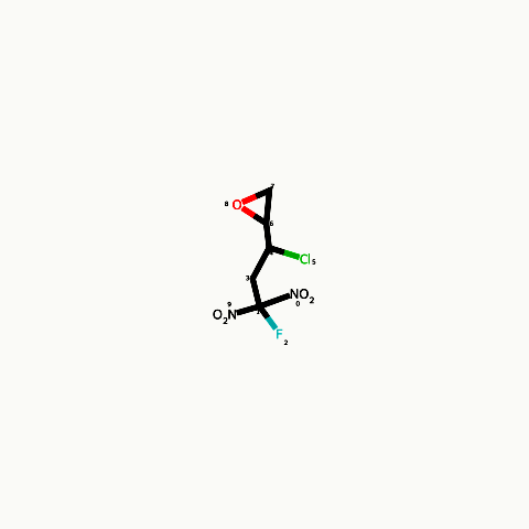 O=[N+]([O-])C(F)(CC(Cl)C1CO1)[N+](=O)[O-]